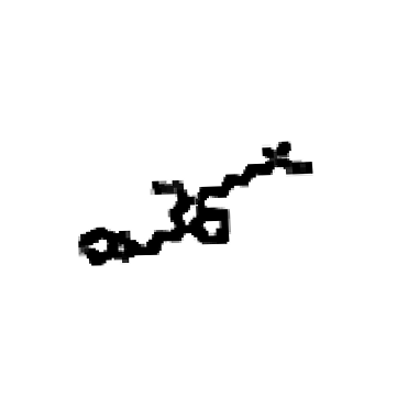 CCCC[N+](C)(C)CCCCCCN1C(OC)=CC(=CC=Cc2nc3ccncc3s2)c2ccccc21